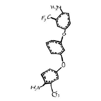 Nc1ccc(Oc2cccc(Oc3ccc(N)c(C(F)(F)F)c3)c2)cc1C(F)(F)F